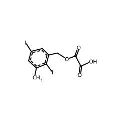 Cc1cc(I)cc(COC(=O)C(=O)O)c1I